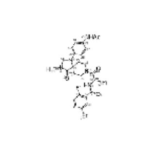 CCc1ccc(F)c(C(=O)N[C@@H](C(=O)N2CCC3(CC2)C(=O)N(C)CN3c2ccc(NC(C)=O)cc2)C(C)C)c1